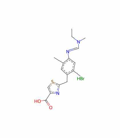 Br.CCN(C)C=Nc1cc(C)c(Cc2nc(C(=O)O)cs2)cc1C